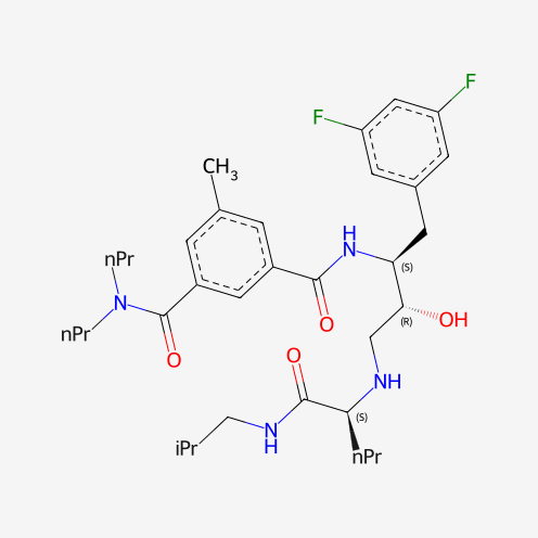 CCC[C@H](NC[C@@H](O)[C@H](Cc1cc(F)cc(F)c1)NC(=O)c1cc(C)cc(C(=O)N(CCC)CCC)c1)C(=O)NCC(C)C